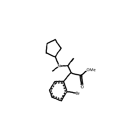 COC(=O)C(c1ccccc1Br)C(C)N(C)C1CCCC1